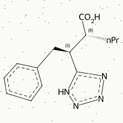 CCC[C@@H](C(=O)O)[C@H](Cc1ccccc1)c1nnn[nH]1